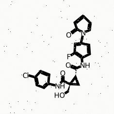 O=C(Nc1ccc(-n2ccccc2=O)cc1F)[C@@H]1C[C@]1(CO)C(=O)Nc1ccc(Cl)cc1